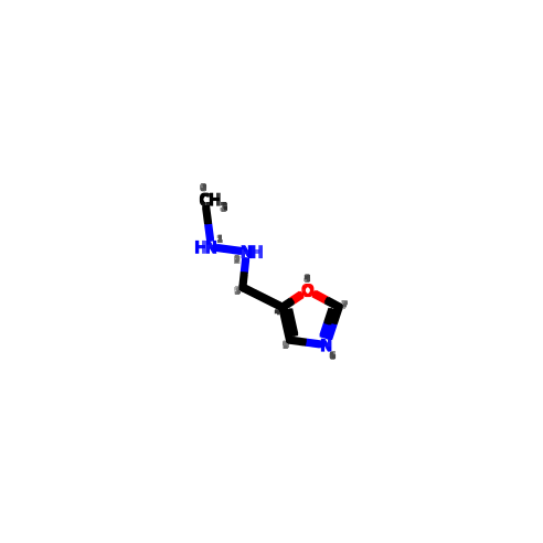 CNNCc1cnco1